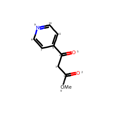 COC(=O)CC(=O)c1ccncc1